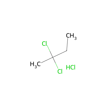 CCC(C)(Cl)Cl.Cl